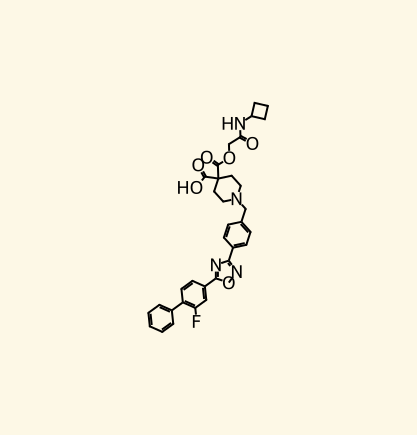 O=C(COC(=O)C1(C(=O)O)CCN(Cc2ccc(-c3noc(-c4ccc(-c5ccccc5)c(F)c4)n3)cc2)CC1)NC1CCC1